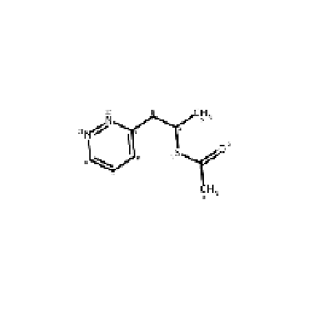 CC(=O)SC(C)Cc1cccnn1